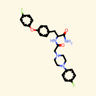 NC(=O)C(Cc1ccc(Oc2ccc(F)cc2)cc1)NC(=O)CN1CCN(c2ccc(F)cc2)CC1